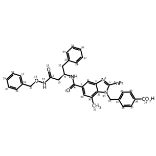 CCCc1nc2cc(C(=O)N[C@@H](CC(=O)NOCc3ccccc3)Cc3ccccc3)cc(C)c2n1Cc1ccc(C(=O)O)cc1